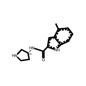 Cc1cccc2[nH]c(C(=O)N[C@@H]3CCNC3)cc12